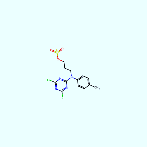 Cc1ccc(N(CCCO[SH](=O)=O)c2nc(Cl)nc(Cl)n2)cc1